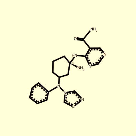 NC(=O)c1cncnc1N[C@@]1(N)CCCC(N(c2ccccc2)n2cnnc2)C1